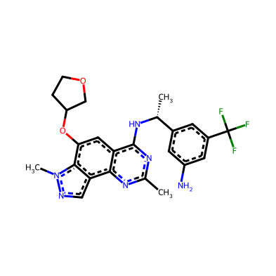 Cc1nc(N[C@H](C)c2cc(N)cc(C(F)(F)F)c2)c2cc(OC3CCOC3)c3c(cnn3C)c2n1